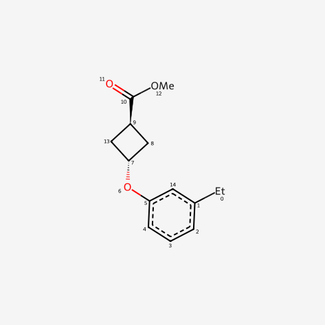 CCc1cccc(O[C@H]2C[C@H](C(=O)OC)C2)c1